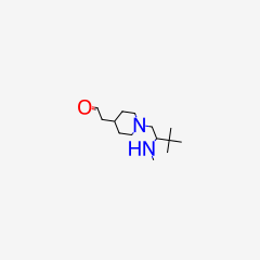 CNC(CN1CCC(CC=O)CC1)C(C)(C)C